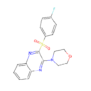 O=S(=O)(c1ccc(F)cc1)c1nc2ccccc2nc1N1CCOCC1